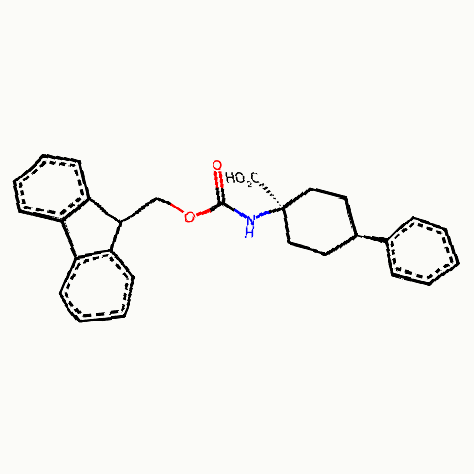 O=C(N[C@]1(C(=O)O)CC[C@H](c2ccccc2)CC1)OCC1c2ccccc2-c2ccccc21